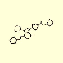 Nc1ncc(C=Cc2ccccc2)n2c(C3CCOCC3)nc(-c3ccc(C(=O)Nc4ccccn4)cc3)c12